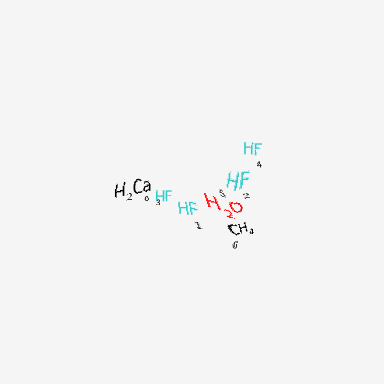 C.F.F.F.F.O.[CaH2]